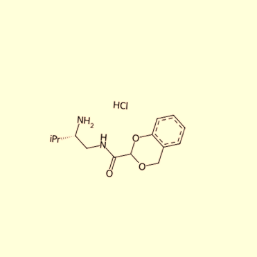 CC(C)[C@H](N)CNC(=O)C1OCc2ccccc2O1.Cl